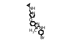 Cn1c(Nc2ccc(Br)cc2)nc2cc(Oc3ccnc(CNC4CC4)c3)ccc21